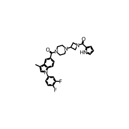 Cc1cn(-c2ccc(F)c(F)c2)c2ccc(C(=O)N3CCN(C4CN(C(=O)c5ccc[nH]5)C4)CC3)cc12